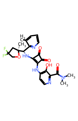 Cc1cccnc1[C@H](Nc1c(Nc2ccnc(C(=O)N(C)C)c2O)c(=O)c1=O)[C@]1(C)CC(F)(F)CO1